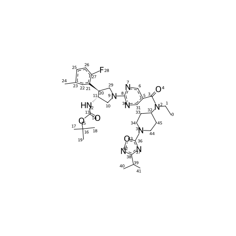 CCN(C(=O)c1cnc(N2C[C@H](NC(=O)OC(C)(C)C)[C@@H](c3cc(C)ccc3F)C2)nc1)C1CCN(c2nc(C(C)C)no2)CC1